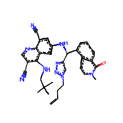 C=CCCn1cc([C@@H](Nc2cc(C#N)c3ncc(C#N)c(NCC(C)(C)C)c3c2)c2cccc3c(=O)n(C)ccc23)nn1